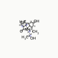 C=C/C(=C\C=C(/C)O)C1(c2ccc(O)cc2)NC(=O)C(=C/C)/C1=C\C